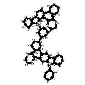 c1ccc(-n2c3ccccc3c3cc4c5cc(-c6cccc(-n7c8ccccc8c8ccc9c%10ccccc%10c%10nccnc%10c9c87)c6)ccc5c5nccnc5c4cc32)cc1